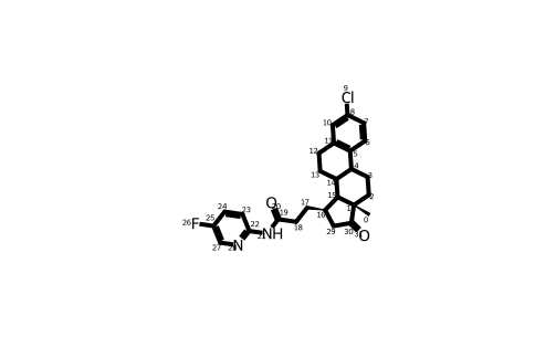 C[C@]12CCC3c4ccc(Cl)cc4CCC3C1[C@H](CCC(=O)Nc1ccc(F)cn1)CC2=O